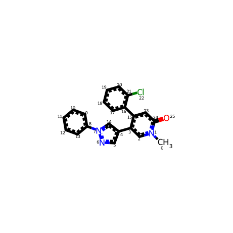 Cn1cc(-c2cnn(-c3ccccc3)c2)c(-c2ccccc2Cl)cc1=O